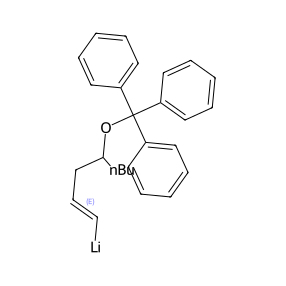 [Li]/[CH]=C/CC(CCCC)OC(c1ccccc1)(c1ccccc1)c1ccccc1